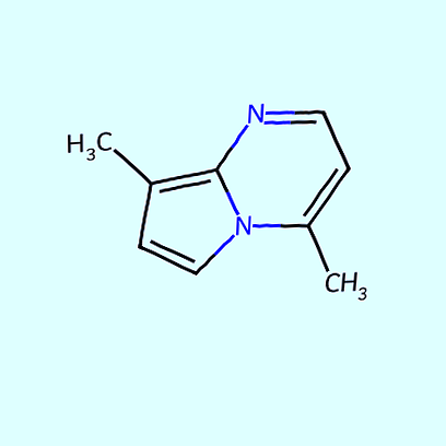 Cc1ccn2c(C)ccnc12